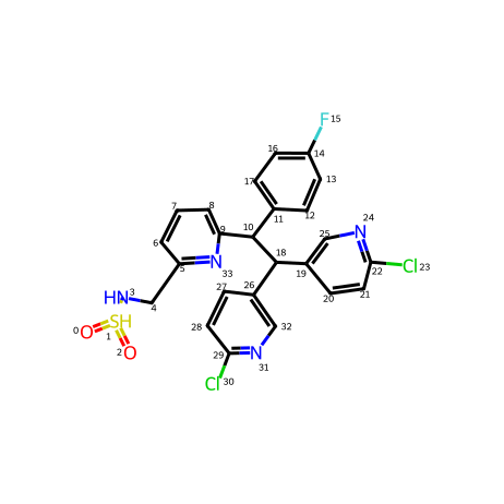 O=[SH](=O)NCc1cccc(C(c2ccc(F)cc2)C(c2ccc(Cl)nc2)c2ccc(Cl)nc2)n1